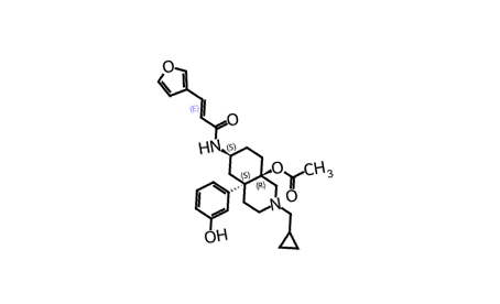 CC(=O)O[C@]12CC[C@H](NC(=O)/C=C/c3ccoc3)C[C@]1(c1cccc(O)c1)CCN(CC1CC1)C2